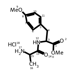 COC(=O)C(Cc1ccc(OC)cc1)NC(=O)C(C)N.Cl